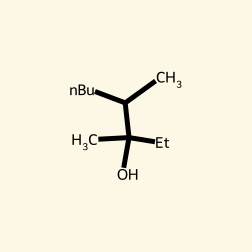 [CH2]CC(C)(O)C(C)CCCC